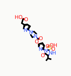 CC(C)C1NC(S(=O)(=O)O)N(c2ccc(OC(=O)N3CCN(c4ccc(CC(=O)O)cn4)CC3)cn2)C1=O